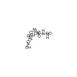 COc1nc(-c2ccnc(-c3cccc(NC(=O)c4cc5c(cn4)CN(CCO)CC5)c3C)c2Cl)ccc1CNC[C@@H]1CCC(=O)N1